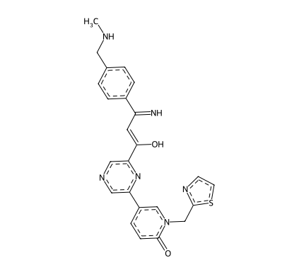 CNCc1ccc(C(=N)/C=C(\O)c2cncc(-c3ccc(=O)n(Cc4nccs4)c3)n2)cc1